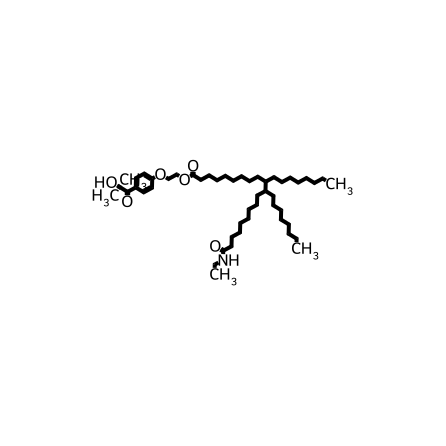 CCCCCCCCC(CCCCCCCCC(=O)NCC)C(CCCCCCCC)CCCCCCCCC(=O)OCCOc1ccc(C(=O)C(C)(C)O)cc1